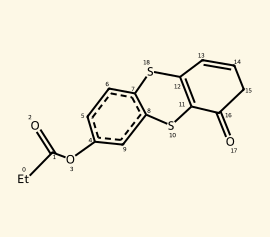 CCC(=O)Oc1ccc2c(c1)SC1=C(C=CCC1=O)S2